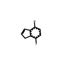 Fc1ccc(Br)c2c1CC=C2